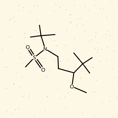 COC(CCN(C(C)(C)C)S(C)(=O)=O)C(C)(C)C